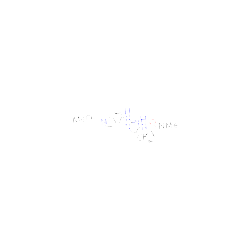 CNC(=O)c1ccccc1Nc1nc(Nc2ccc3c(c2)CCN(CCOC)C3)ncc1C(F)(F)F